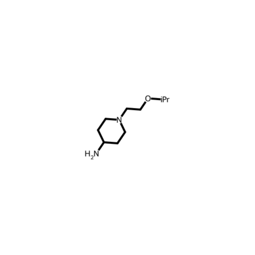 CC(C)OCCN1CCC(N)CC1